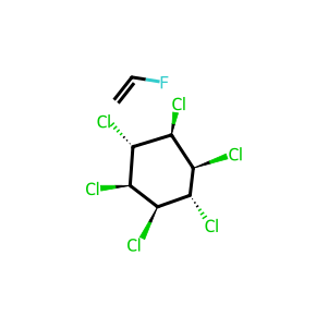 C=CF.Cl[C@H]1[C@H](Cl)[C@@H](Cl)[C@@H](Cl)[C@H](Cl)[C@H]1Cl